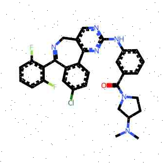 CN(C)C1CCN(C(=O)c2cccc(Nc3ncc4c(n3)-c3ccc(Cl)cc3C(c3c(F)cccc3F)=NC4)c2)C1